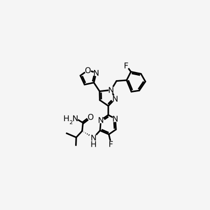 CC(C)[C@@H](Nc1nc(-c2cc(-c3ccon3)n(Cc3ccccc3F)n2)ncc1F)C(N)=O